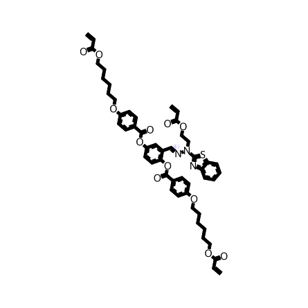 C=CC(=O)OCCCCCCOc1ccc(C(=O)Oc2ccc(OC(=O)c3ccc(OCCCCCCOC(=O)C=C)cc3)c(/C=N/N(CCOC(=O)C=C)c3nc4ccccc4s3)c2)cc1